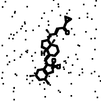 C[C@@H]1CC2=C(CS(=O)(=O)C2/C=C2\CCC[C@]3(C)C([C@H](C)/C=C/C(=O)C4CC4)CC[C@@H]23)[C@@H](C)C1